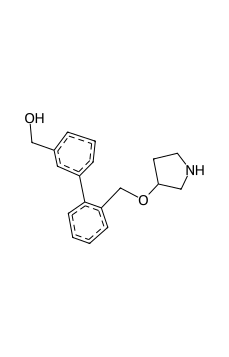 OCc1cccc(-c2ccccc2COC2CCNC2)c1